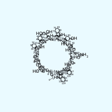 CCCC[C@H]1C(=O)N(C)CC(=O)N[C@@H](CC(=O)O)C(=O)N[C@@H](C(C)C)C(=O)N(C)[C@@H](Cc2ccccc2)C(=O)N[C@@H](Cc2ccc(O)cc2)C(=O)N(C)[C@H](CCC(=O)O)C(=O)N[C@@H](Cc2c[nH]c3ccccc23)C(=O)N[C@@H](Cc2ccc(O)cc2)C(=O)N[C@@H](CC(C)C)C(=O)N[C@H](C(=O)NCC(N)=O)CSCC(=O)N[C@@H](Cc2ccccc2)C(=O)N(C)[C@@H](Cc2c[nH]c3ccccc23)C(=O)N1C